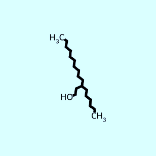 CCCCCCCCCCC(CCO)CCCCCC